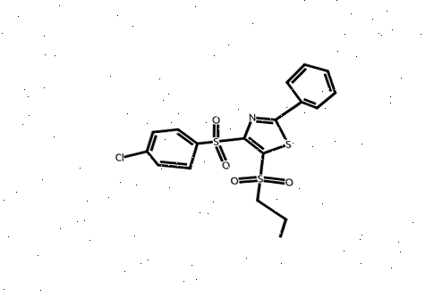 CCCS(=O)(=O)c1sc(-c2ccccc2)nc1S(=O)(=O)c1ccc(Cl)cc1